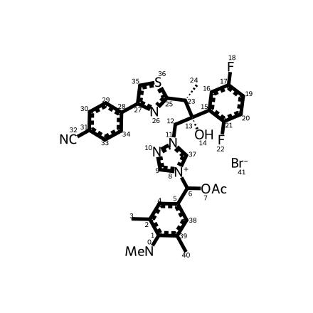 CNc1c(C)cc(C(OC(C)=O)[n+]2cnn(C[C@](O)(c3cc(F)ccc3F)[C@@H](C)c3nc(-c4ccc(C#N)cc4)cs3)c2)cc1C.[Br-]